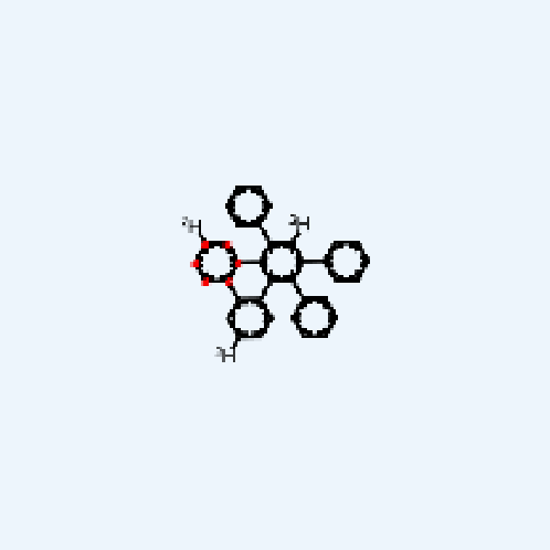 [2H]c1ccc(-c2cc([2H])ccc2-c2c(-c3ccccc3)c(-c3ccccc3)c([2H])c(-c3ccccc3)c2-c2ccccc2)cc1